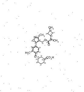 Cc1nc(-c2onc(C)c2COC(=O)N(C)C2CC(C)C2)ccc1O[C@H]1CCC[C@H](C(=O)O)C1